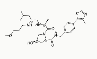 COCCCN[C@@H](CN[C@@H](C)C(=O)N1C[C@H](O)C[C@H]1C(=O)NCc1ccc(-c2scnc2C)cc1)CC(C)C